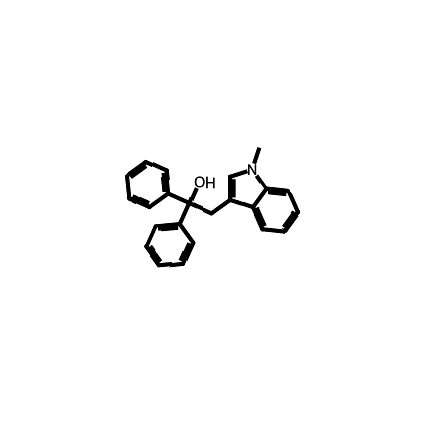 Cn1cc(CC(O)(c2ccccc2)c2ccccc2)c2ccccc21